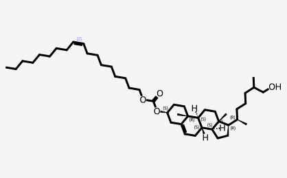 CCCCCCCC/C=C\CCCCCCCCOC(=O)O[C@H]1CC[C@@]2(C)C(=CC[C@H]3[C@@H]4CC[C@H]([C@H](C)CCCC(C)CO)[C@@]4(C)CC[C@@H]32)C1